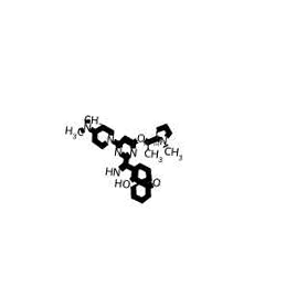 C[C@H](Oc1cc(N2CCC(N(C)C)CC2)nc(C(=N)C2=C(O)[C@]3(CCCCC3=O)CCC2)n1)[C@@H]1CCCN1C